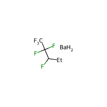 CCC(F)C(F)(F)C(F)(F)F.[BaH2]